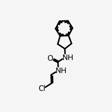 O=C(N/C=C/Cl)NC1Cc2ccccc2C1